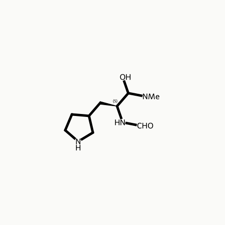 CNC(O)[C@H](CC1CCNC1)NC=O